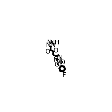 O=C(Cc1cnn(S(=O)(=O)c2ccc(F)cc2)n1)C(=O)c1nn[nH]n1